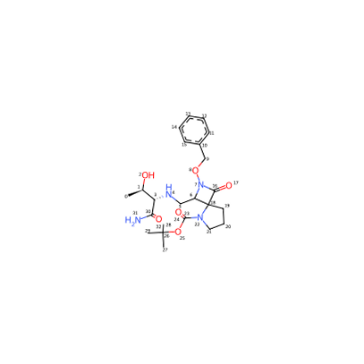 C[C@@H](O)[C@H](NCC1N(OCc2ccccc2)C(=O)C12CCCN2C(=O)OC(C)(C)C)C(N)=O